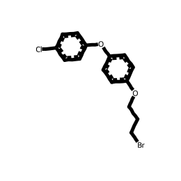 Clc1ccc(Oc2ccc(OCCCBr)cc2)cc1